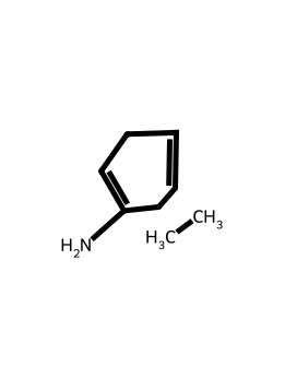 CC.NC1=CCC=CC1